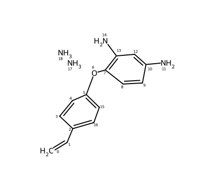 C=Cc1ccc(Oc2ccc(N)cc2N)cc1.N.N